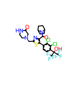 O=C1CN(Cc2nc(C(=O)N3C4CCC3CC4)c(-c3ccc(C(O)(C(F)(F)F)C(F)(F)F)c(Cl)c3Cl)s2)CCN1